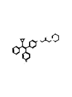 Oc1ccc(C(=C(c2ccccc2)C2CC2)c2ccc(OCC(O)CN3CCCCC3)cc2)cc1